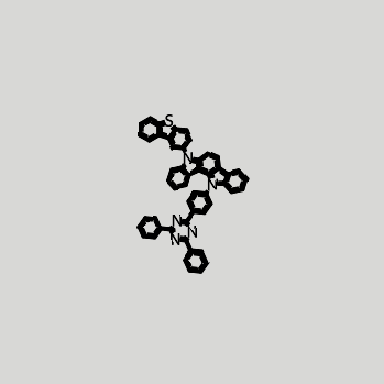 c1ccc(-c2nc(-c3ccccc3)nc(-c3ccc(-n4c5ccccc5c5ccc6c(c7ccccc7n6-c6ccc7sc8ccccc8c7c6)c54)cc3)n2)cc1